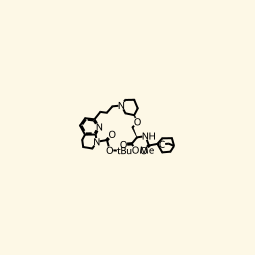 COC(=O)[C@@H](CO[C@@H]1CCCN(CCCc2ccc3c(n2)N(C(=O)OC(C)(C)C)CCC3)C1)NC(=O)C12CCC(CC1)CC2